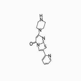 O=c1cc(N2CCNCC2)nc2sc(-c3ccccn3)cn12